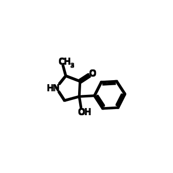 CC1NCC(O)(c2ccccc2)C1=O